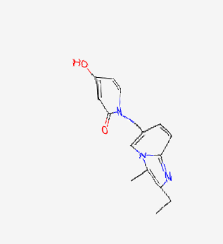 CCc1nc2ccc(-n3ccc(O)cc3=O)cn2c1C